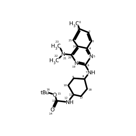 Cc1ccc2nc(NC3CCC(NC(=O)OC(C)(C)C)CC3)nc(N(C)C)c2c1